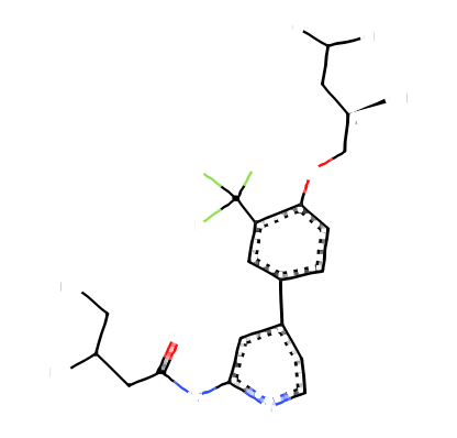 CCC(C)CC(=O)Nc1cc(-c2ccc(OC[C@H](C)CC(C)C)c(C(F)(F)F)c2)ccn1